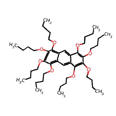 CCCCOc1c(OCCCC)c(OCCCC)c2cc3c(OCCCC)c(OCCCC)c(OCCCC)c(OCCCC)c3cc2c1OCCCC